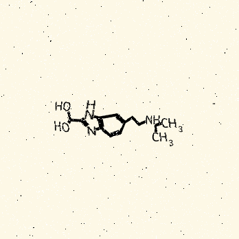 CC(C)NCCc1ccc2nc(C(O)O)[nH]c2c1